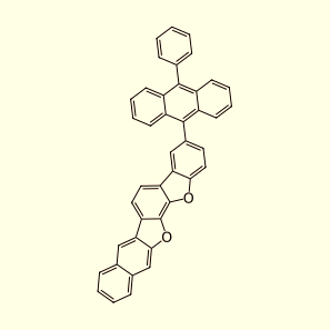 c1ccc(-c2c3ccccc3c(-c3ccc4oc5c(ccc6c7cc8ccccc8cc7oc65)c4c3)c3ccccc23)cc1